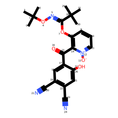 CC(C)(C)O/N=C(\Oc1ccc[n+]([O-])c1C(=O)c1cc(C#N)c(C#N)cc1O)C(C)(C)C